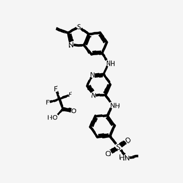 CNS(=O)(=O)c1cccc(Nc2cc(Nc3ccc4sc(C)nc4c3)ncn2)c1.O=C(O)C(F)(F)F